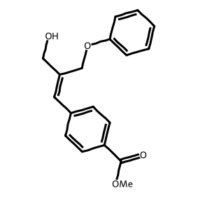 COC(=O)c1ccc(C=C(CO)COc2ccccc2)cc1